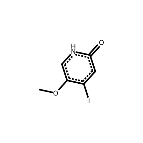 COc1c[nH]c(=O)cc1I